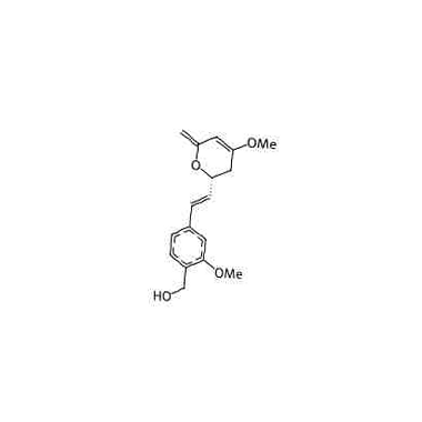 C=C1C=C(OC)C[C@H](/C=C/c2ccc(CO)c(OC)c2)O1